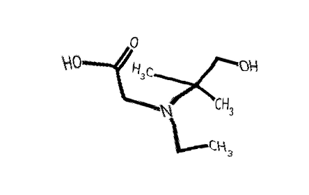 CCN(CC(=O)O)C(C)(C)CO